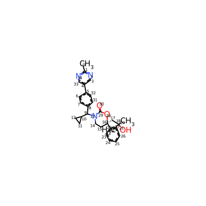 Cc1ncc(-c2ccc(C(C3CC3)N3CC[C@](CC(C)(C)O)(c4ccccc4)OC3=O)cc2)cn1